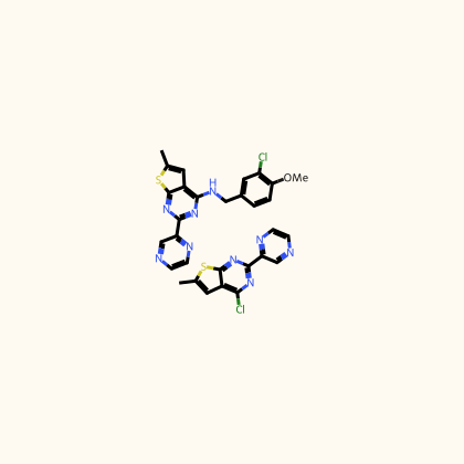 COc1ccc(CNc2nc(-c3cnccn3)nc3sc(C)cc23)cc1Cl.Cc1cc2c(Cl)nc(-c3cnccn3)nc2s1